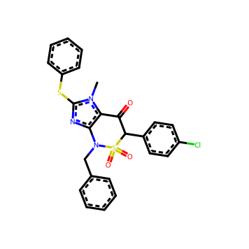 Cn1c(Sc2ccccc2)nc2c1C(=O)C(c1ccc(Cl)cc1)S(=O)(=O)N2Cc1ccccc1